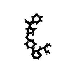 CC(C)Oc1ccccc1N1CCN(CC2CC(C(=O)N3CCOCC3)=NO2)CC1